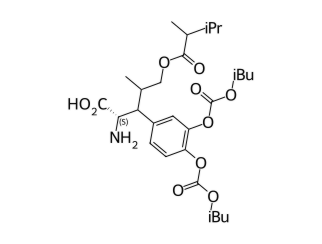 CCC(C)OC(=O)Oc1ccc(C(C(C)COC(=O)C(C)C(C)C)[C@H](N)C(=O)O)cc1OC(=O)OC(C)CC